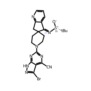 CC(C)(C)[S@@+]([O-])/N=C1\c2cccnc2CC12CCN(c1nc(C#N)c3c(Br)n[nH]c3n1)CC2